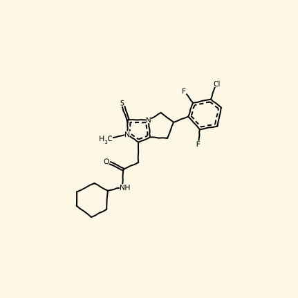 Cn1c(CC(=O)NC2CCCCC2)c2n(c1=S)CC(c1c(F)ccc(Cl)c1F)C2